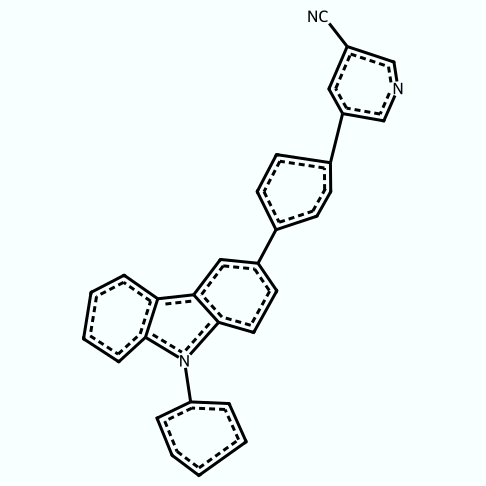 N#Cc1cncc(-c2ccc(-c3ccc4c(c3)c3ccccc3n4-c3ccccc3)cc2)c1